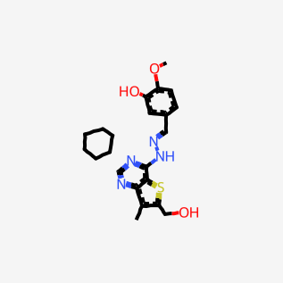 C1CCCCC1.COc1ccc(C=NNc2ncnc3c(C)c(CO)sc23)cc1O